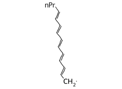 [CH2]C=CC=CC=CC=CC=CCCC